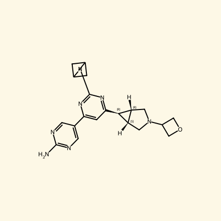 Nc1ncc(-c2cc([C@H]3[C@@H]4CN(C5COC5)C[C@@H]43)nc(N3CC4CC3C4)n2)cn1